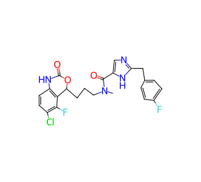 CN(CCCC1OC(=O)Nc2ccc(Cl)c(F)c21)C(=O)c1cnc(Cc2ccc(F)cc2)[nH]1